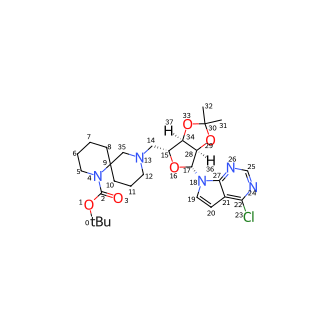 CC(C)(C)OC(=O)N1CCCCC12CCCN(C[C@H]1O[C@@H](n3ccc4c(Cl)ncnc43)[C@@H]3OC(C)(C)O[C@@H]31)C2